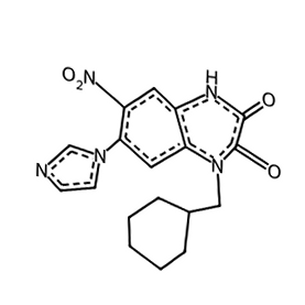 O=c1[nH]c2cc([N+](=O)[O-])c(-n3ccnc3)cc2n(CC2CCCCC2)c1=O